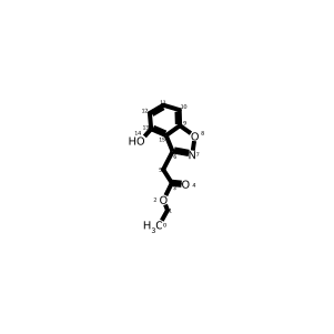 CCOC(=O)Cc1noc2cccc(O)c12